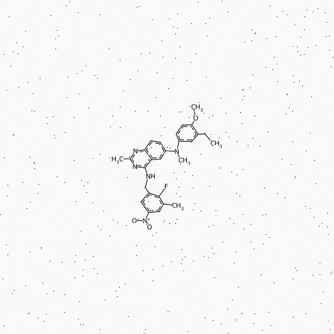 CCc1cc(N(C)c2ccc3nc(C)nc(NCc4cc([N+](=O)[O-])cc(C)c4F)c3c2)ccc1OC